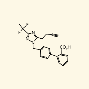 C#CCCc1nc(C(C)(F)F)nn1Cc1ccc(-c2ccccc2C(=O)O)cc1